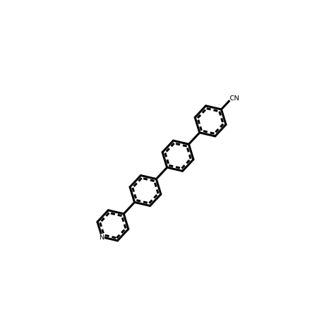 N#Cc1ccc(-c2ccc(-c3ccc(-c4ccncc4)cc3)cc2)cc1